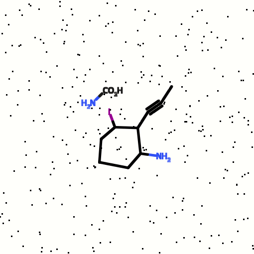 CC#CC1C(N)CCCC1I.NC(=O)O